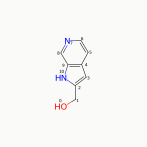 OCc1cc2ccncc2[nH]1